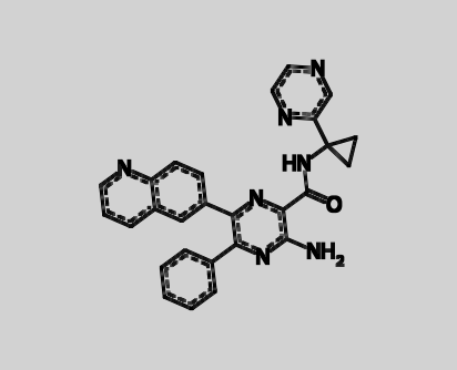 Nc1nc(-c2ccccc2)c(-c2ccc3ncccc3c2)nc1C(=O)NC1(c2cnccn2)CC1